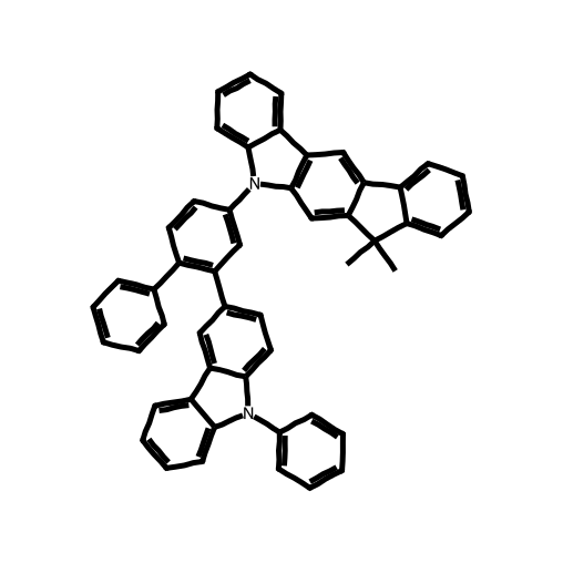 CC1(C)c2ccccc2-c2cc3c4ccccc4n(-c4ccc(-c5ccccc5)c(-c5ccc6c(c5)c5ccccc5n6-c5ccccc5)c4)c3cc21